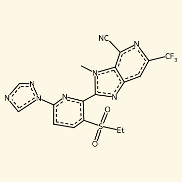 CCS(=O)(=O)c1ccc(-n2cncn2)nc1-c1nc2cc(C(F)(F)F)nc(C#N)c2n1C